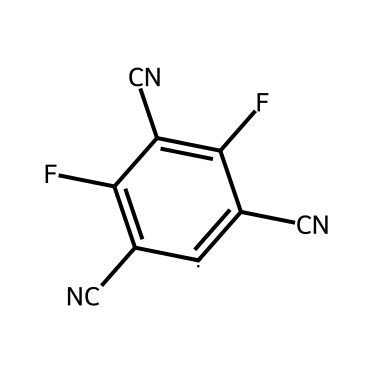 N#Cc1[c]c(C#N)c(F)c(C#N)c1F